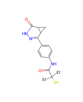 CCC(S)(CC)C(=O)Nc1ccc(C2=NNC(=O)C3CC23)cc1